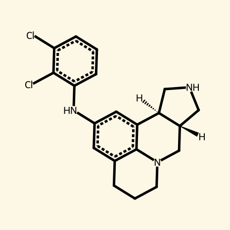 Clc1cccc(Nc2cc3c4c(c2)[C@H]2CNC[C@@H]2CN4CCC3)c1Cl